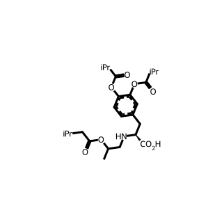 CC(C)CC(=O)OC(C)CN[C@@H](Cc1ccc(OC(=O)C(C)C)c(OC(=O)C(C)C)c1)C(=O)O